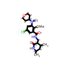 CCN(c1cc(Cl)cc(C(=O)NCC2C(=O)NC(C)CC2C)c1OC)C1CCOCC1